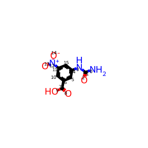 NC(=O)Nc1cc(C(=O)O)cc([N+](=O)[O-])c1